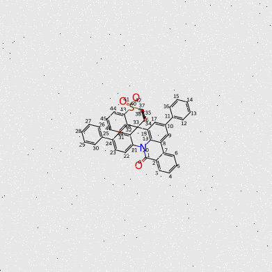 O=c1c2ccccc2c2cc(-c3ccccc3)cc3c2n1-c1ccc(-c2ccccc2)cc1C31c2ccccc2S(=O)(=O)c2ccccc21